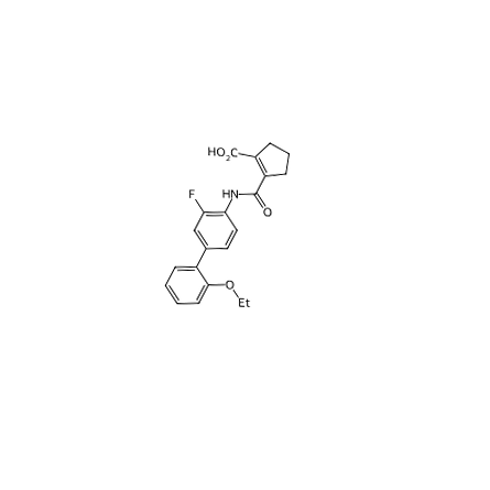 CCOc1ccccc1-c1ccc(NC(=O)C2=C(C(=O)O)CCC2)c(F)c1